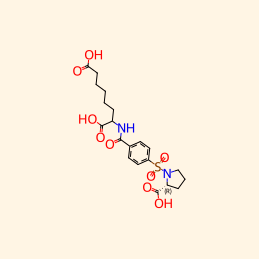 O=C(O)CCCCCC(NC(=O)c1ccc(S(=O)(=O)N2CCC[C@@H]2C(=O)O)cc1)C(=O)O